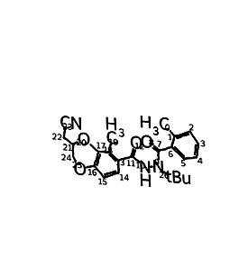 Cc1ccccc1C(=O)N(NC(=O)c1ccc2c(c1C)OC(CC#N)CO2)C(C)(C)C